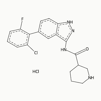 Cl.O=C(Nc1n[nH]c2ccc(-c3c(F)cccc3Cl)cc12)C1CCCNC1